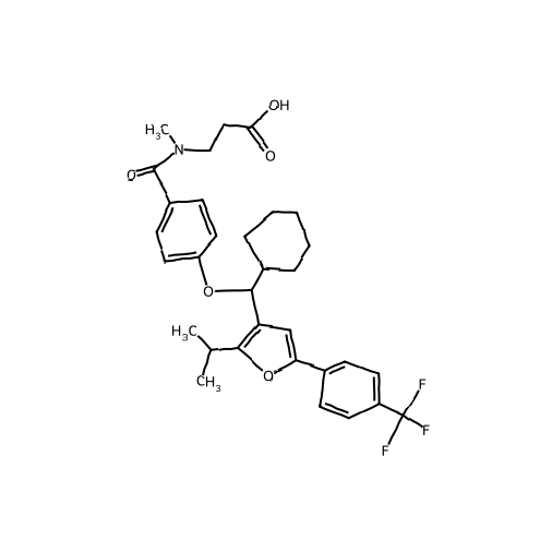 CC(C)c1oc(-c2ccc(C(F)(F)F)cc2)cc1C(Oc1ccc(C(=O)N(C)CCC(=O)O)cc1)C1CCCCC1